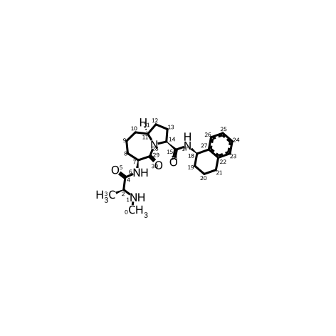 CN[C@@H](C)C(=O)N[C@H]1CCC[C@H]2CC[C@@H](C(=O)N[C@@H]3CCCc4ccccc43)N2C1=O